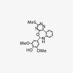 COc1cc(C2Nc3ccccc3-c3nnc(SC)nc3O2)cc(OC)c1O